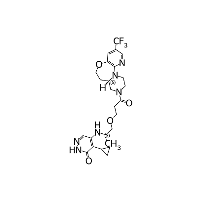 C[C@@H](COCCC(=O)N1CCN2c3ncc(C(F)(F)F)cc3OCC[C@H]2C1)Nc1cn[nH]c(=O)c1C1CC1